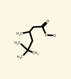 CC(CC(=O)O[O])CC(C)(C)C